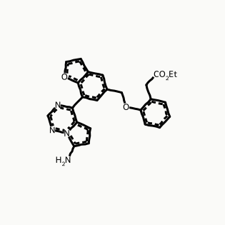 CCOC(=O)Cc1ccccc1OCc1cc(-c2ncnn3c(N)ccc23)c2occc2c1